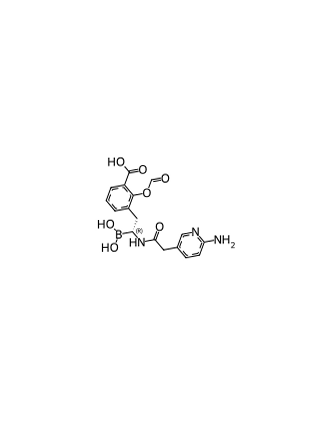 Nc1ccc(CC(=O)N[C@@H](Cc2cccc(C(=O)O)c2OC=O)B(O)O)cn1